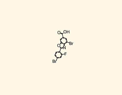 O=C(O)c1cc(Br)c2nc(-c3ccc(Br)cc3F)oc2c1